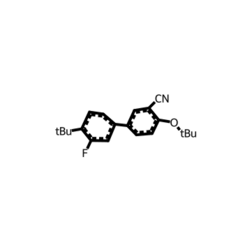 CC(C)(C)Oc1ccc(-c2ccc(C(C)(C)C)c(F)c2)cc1C#N